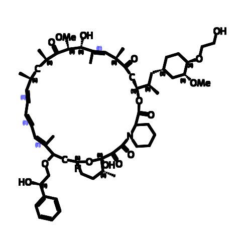 CO[C@@H]1C[C@H](C[C@@H](C)[C@@H]2CC(=O)[C@H](C)/C=C(\C)[C@@H](O)[C@@H](OC)C(=O)[C@H](C)C[C@H](C)/C=C/C=C/C=C(\C)C(OC[C@H](O)c3ccccc3)C[C@@H]3CC[C@@H](C)[C@@](O)(O3)C(=O)C(=O)N3CCCCC3C(=O)O2)CC[C@H]1OCCO